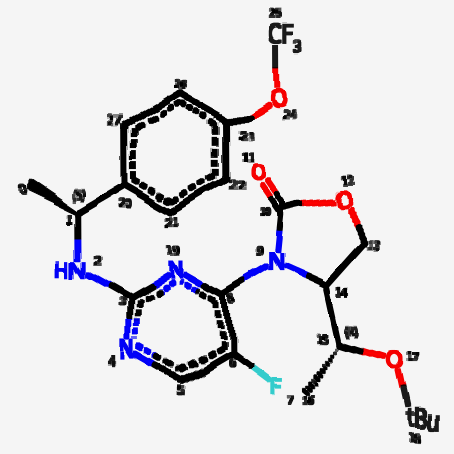 C[C@H](Nc1ncc(F)c(N2C(=O)OCC2[C@@H](C)OC(C)(C)C)n1)c1ccc(OC(F)(F)F)cc1